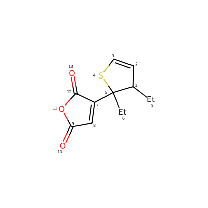 CCC1C=CSC1(CC)C1=CC(=O)OC1=O